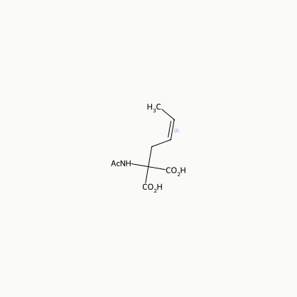 C/C=C\CC(NC(C)=O)(C(=O)O)C(=O)O